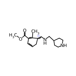 COC(=O)C1=C(C)/C(=C/NCC2CCNCC2)CC=C1